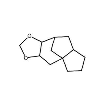 C1CC2CC3CC2(C1)CC1OCOC31